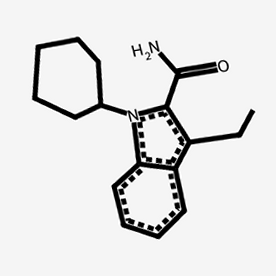 CCc1c(C(N)=O)n(C2CCCCC2)c2ccccc12